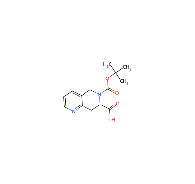 CC(C)(C)OC(=O)N1Cc2cccnc2CC1C(=O)O